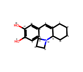 Oc1ccc(/C=C2/CCCCC2N2CCC2)cc1O